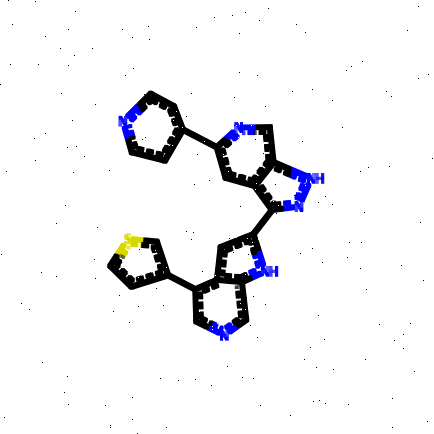 c1cc(-c2cc3c(-c4cc5c(-c6ccsc6)cncc5[nH]4)n[nH]c3cn2)ccn1